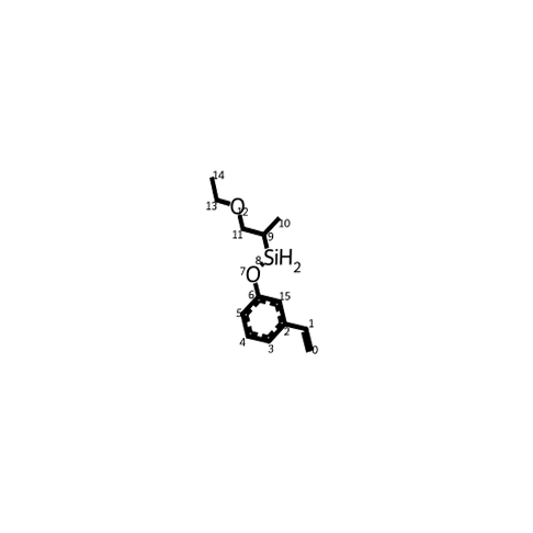 C=Cc1cccc(O[SiH2]C(C)COCC)c1